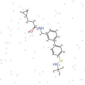 CC(C)(C)NSc1ccc(-c2cccc(CNC(=O)CCC3CC3)c2)cc1